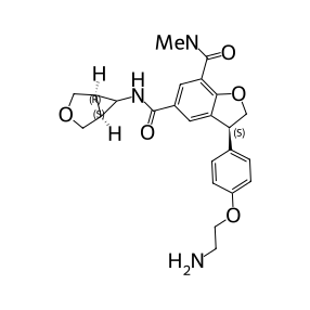 CNC(=O)c1cc(C(=O)NC2[C@H]3COC[C@@H]23)cc2c1OC[C@H]2c1ccc(OCCN)cc1